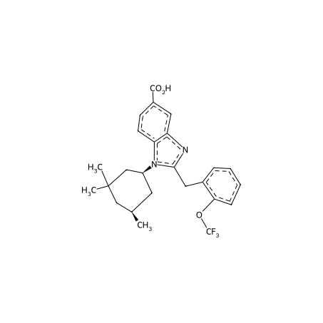 C[C@@H]1C[C@H](n2c(Cc3ccccc3OC(F)(F)F)nc3cc(C(=O)O)ccc32)CC(C)(C)C1